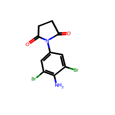 Nc1c(Br)cc(N2C(=O)CCC2=O)cc1Br